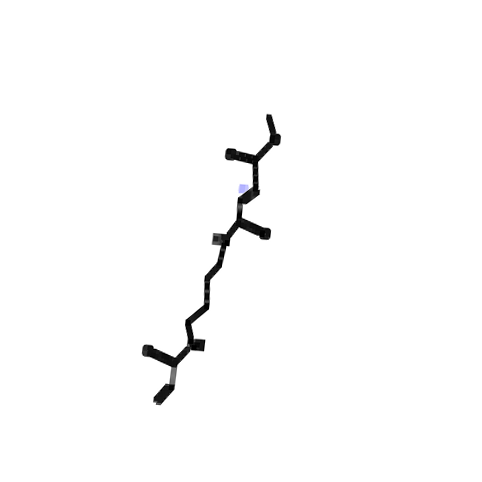 C=CC(=O)NCCCCNC(=O)/C=C/C(=O)OC